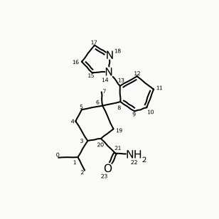 CC(C)C1CCC(C)(c2ccccc2-n2cccn2)CC1C(N)=O